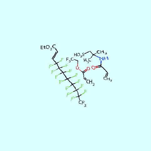 C=CC(=O)NC(C)(C)CS(=O)(=O)O.C=CC(=O)OCC(F)(F)F.CCOC(=O)C=CC(F)(F)C(F)(F)C(F)(F)C(F)(F)C(F)(F)C(F)(F)C(F)(F)C(F)(F)F